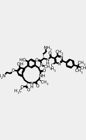 COC(=O)[C@@H]1Cc2cc(OCCN)c(O)c(c2)-c2cc(ccc2O)[C@H](N(C)C(=O)[C@H](CCN)NC(=O)c2c(C)nc(-c3ccc(C(C)(C)C)cc3)nc2C)C(=O)N[C@@H](C)C(=O)N1